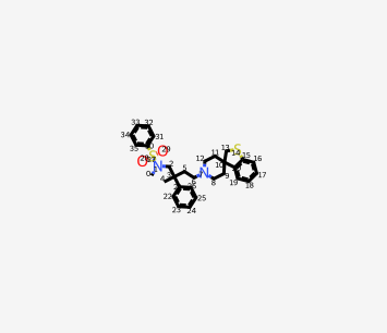 CN(CC(C)(CCN1CCC2(CC1)CSc1ccccc12)c1ccccc1)S(=O)(=O)c1ccccc1